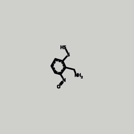 NCc1c(N=O)cccc1SS